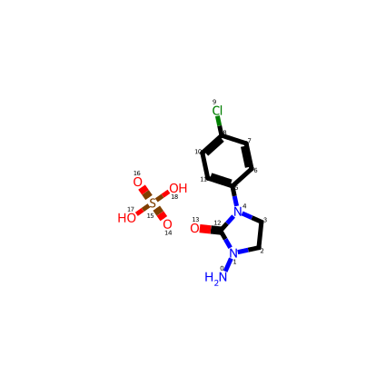 NN1CCN(c2ccc(Cl)cc2)C1=O.O=S(=O)(O)O